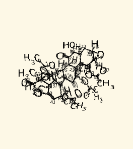 CC(=O)O[C@@H]1[C@H]2[C@@H]3C(=O)[C@H](O)[C@H]4C[C@@H]5O[C@@H]5[C@H](OC(C)=O)[C@]4(C)[C@H]3[C@H](OC(C)=O)[C@H](OC(C)=O)[C@]2(C)[C@@H]2[C@@H]1[C@]1(C)C(=C[C@H]2C)OC(=O)[C@@]1(C)O